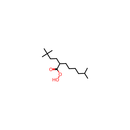 CC(C)CCCCC(CCC(C)(C)C)C(=O)OO